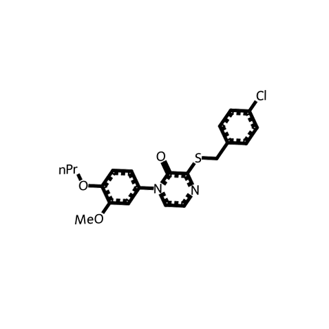 CCCOc1ccc(-n2ccnc(SCc3ccc(Cl)cc3)c2=O)cc1OC